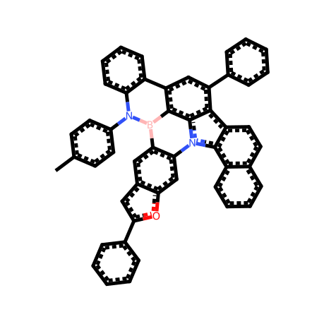 Cc1ccc(N2B3c4cc5cc(-c6ccccc6)oc5cc4-n4c5c3c(cc(-c3ccccc3)c5c3ccc5ccccc5c34)-c3ccccc32)cc1